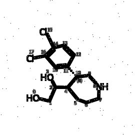 OCC(O)C1CCCNC[C@H]1c1ccc(Cl)c(Cl)c1